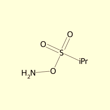 CC(C)S(=O)(=O)ON